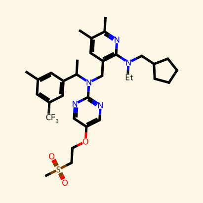 CCN(CC1CCCC1)c1nc(C)c(C)cc1CN(c1ncc(OCCS(C)(=O)=O)cn1)C(C)c1cc(C)cc(C(F)(F)F)c1